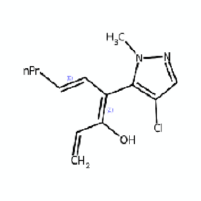 C=C/C(O)=C(\C=C\CCC)c1c(Cl)cnn1C